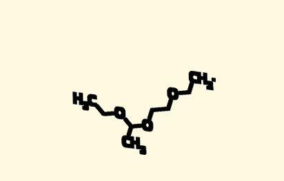 [CH2]COCCOC(C)OCC